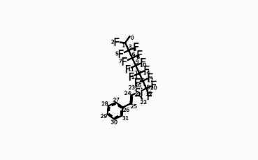 CC(F)C(F)(F)C(F)(F)C(F)(F)C(F)(F)C(F)(F)C(F)(F)[Si](C)(C)C=Cc1ccccc1